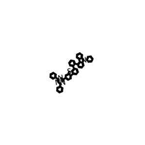 c1ccc(-c2nc(-c3ccccc3)nc(-c3ccc4c(c3)sc3c(-c5ccccc5-c5cccc6c5c5ccccc5n6-c5ccccc5)cccc34)n2)cc1